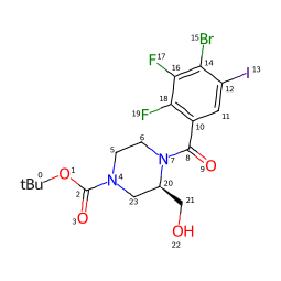 CC(C)(C)OC(=O)N1CCN(C(=O)c2cc(I)c(Br)c(F)c2F)[C@@H](CO)C1